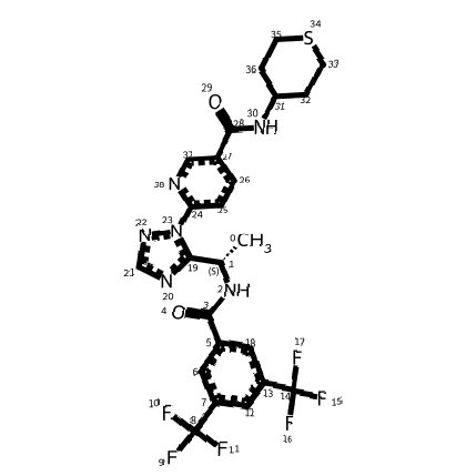 C[C@H](NC(=O)c1cc(C(F)(F)F)cc(C(F)(F)F)c1)c1ncnn1-c1ccc(C(=O)NC2CCSCC2)cn1